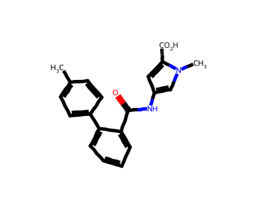 Cc1ccc(-c2ccccc2C(=O)Nc2cc(C(=O)O)n(C)c2)cc1